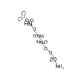 NCCOC(=O)CCOCCOCCC(=O)NCCNC(=O)CCOCCNC(=O)OCC1c2ccccc2-c2ccccc21